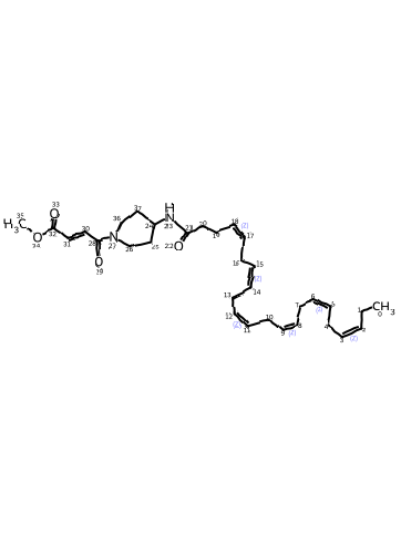 CC/C=C\C/C=C\C/C=C\C/C=C\C/C=C\C/C=C\CCC(=O)NC1CCN(C(=O)C=CC(=O)OC)CC1